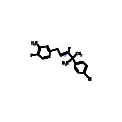 Cc1cc(C/C=C(\F)C(C)(C)c2ccc(Cl)cc2)ccc1F